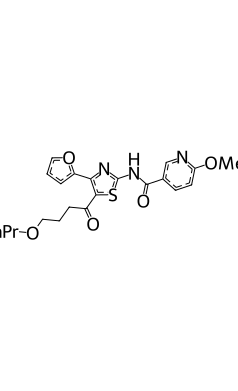 CCCOCCCC(=O)c1sc(NC(=O)c2ccc(OC)nc2)nc1-c1ccco1